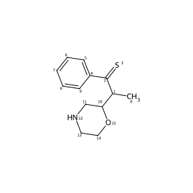 CC(C(=S)c1ccccc1)C1CNCCO1